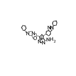 Nc1ncnn2c(C3CN4CCN(Cc5ccccc5)CC4CO3)cc(-c3ccc4cn(-c5ccccc5)nc4c3)c12